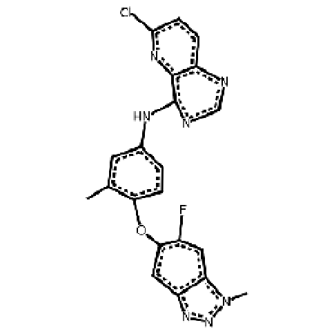 Cc1cc(Nc2ncnc3ccc(Cl)nc23)ccc1Oc1cc2nnn(C)c2cc1F